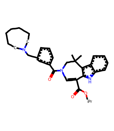 CC(C)OC(=O)C1=CN(C(=O)c2cccc(CN3CCCCCCC3)c2)CC(C)(C)c2c1[nH]c1ccccc21